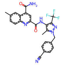 Cc1ccc2nc(C(=O)Nc3c(C(F)(F)F)nn(Cc4ccc(C#N)cc4)c3C)cc(C(N)=O)c2c1